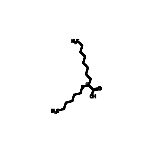 CCCCCCCC[C@H](SCCCCCC)C(=O)O